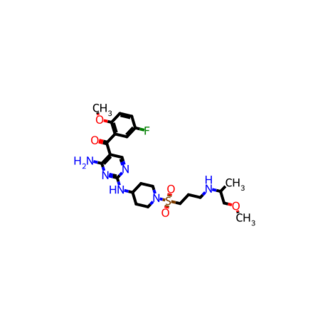 COCC(C)NCCCS(=O)(=O)N1CCC(Nc2ncc(C(=O)c3cc(F)ccc3OC)c(N)n2)CC1